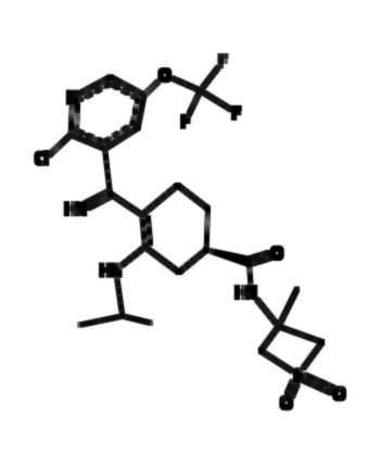 CC(C)NC1=C(C(=N)c2cc(OC(F)(F)F)cnc2Cl)CC[C@@H](C(=O)NC2(C)CS(=O)(=O)C2)C1